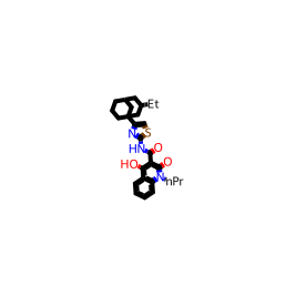 CCCn1c(=O)c(C(=O)Nc2nc(C34CCCC(CC(CC)C3)C4)cs2)c(O)c2ccccc21